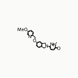 COc1ccc(COc2ccc3c(c2)CN(c2ccc(=O)n(C)n2)C3)nc1